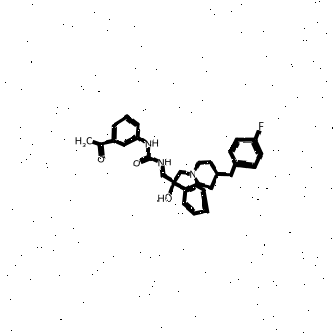 CC(=O)c1cccc(NC(=O)NCC(O)(CN2CCC(Cc3ccc(F)cc3)CC2)c2ccccc2)c1